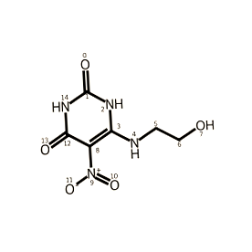 O=c1[nH]c(NCCO)c([N+](=O)[O-])c(=O)[nH]1